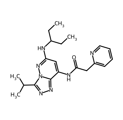 CCC(CC)Nc1cc(NC(=O)Cc2ccccn2)c2nnc(C(C)C)n2n1